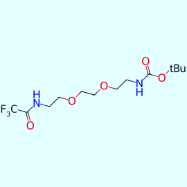 CC(C)(C)OC(=O)NCCOCCOCCNC(=O)C(F)(F)F